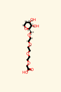 O=C(O)COCCOCCOCCOC[C@H]1OCC[C@@H](O)[C@H]1O